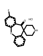 Cl.O=C1c2cc(F)ccc2Oc2ccccc2C12CCNCC2